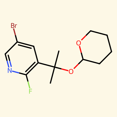 CC(C)(OC1CCCCO1)c1cc(Br)cnc1F